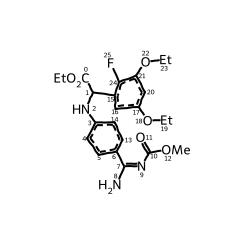 CCOC(=O)C(Nc1ccc(/C(N)=N\C(=O)OC)cc1)c1cc(OCC)cc(OCC)c1F